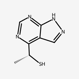 C[C@@H](S)c1ncnc2[nH]ncc12